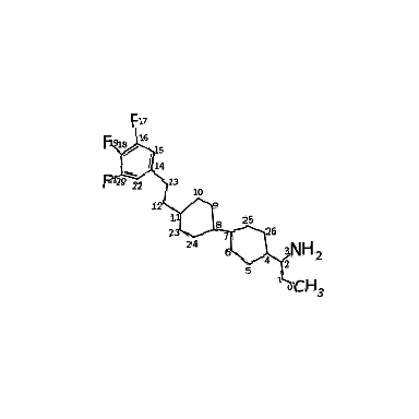 CCC(N)C1CCC(C2CCC(CCc3cc(F)c(F)c(F)c3)CC2)CC1